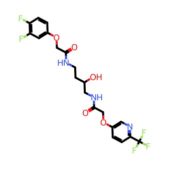 O=C(COc1ccc(F)c(F)c1)NCCC(O)CNC(=O)COc1ccc(C(F)(F)F)nc1